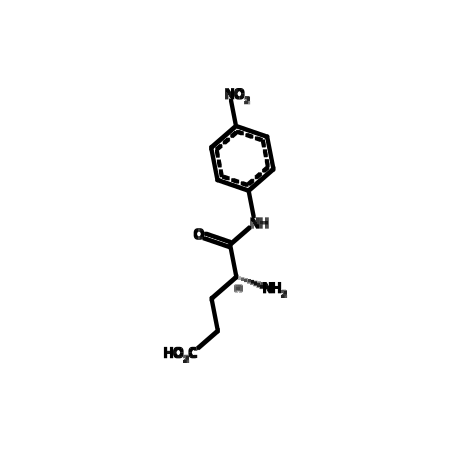 N[C@H](CCC(=O)O)C(=O)Nc1ccc([N+](=O)[O-])cc1